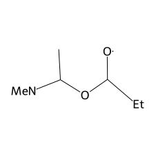 CCC([O])OC(C)NC